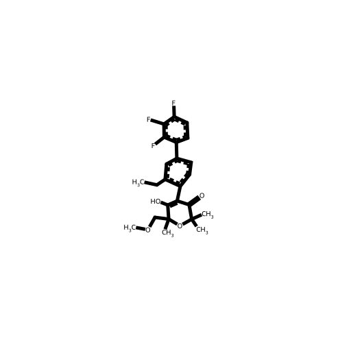 CCc1cc(-c2ccc(F)c(F)c2F)ccc1C1=C(O)C(C)(COC)OC(C)(C)C1=O